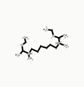 CCOC(C)[SiH](C)CCCCCC[SiH](C)C(C)OCC